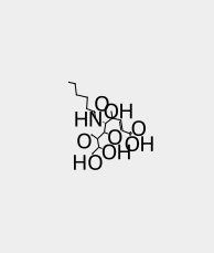 CCCCCC(=O)N[C@@H]1C(O)C=C(C(=O)O)OC1C(C=O)C(O)CO